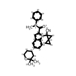 CN(C(=O)c1cc2cc([C@H]3CCOC(C)(C)C3)ccc2n1C1(C#N)CC12CC2)c1ccccc1